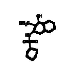 O=C(O)c1c(NS(=O)(=O)c2ccccc2)cc2ccccc2c1O